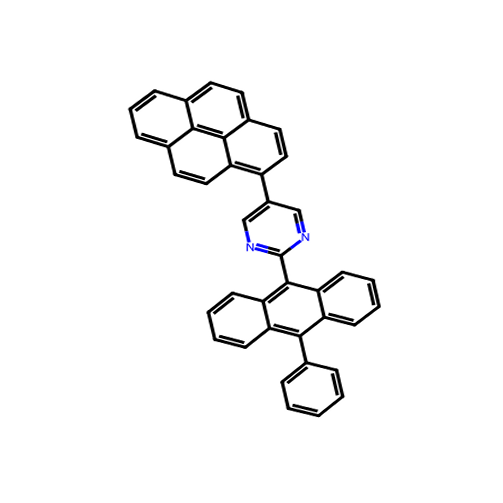 c1ccc(-c2c3ccccc3c(-c3ncc(-c4ccc5ccc6cccc7ccc4c5c67)cn3)c3ccccc23)cc1